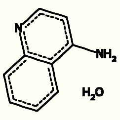 Nc1ccnc2ccccc12.O